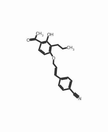 CCCc1c(OCC=Cc2ccc(C#N)cc2)ccc(C(C)=O)c1O